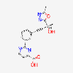 Cc1nnc([C@](C)(O)C#Cc2cccc(-c3nccc(C(=O)O)n3)c2)o1